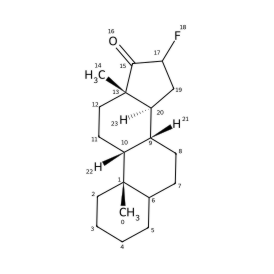 C[C@]12CCCCC1CC[C@@H]1[C@H]2CC[C@]2(C)C(=O)C(F)C[C@@H]12